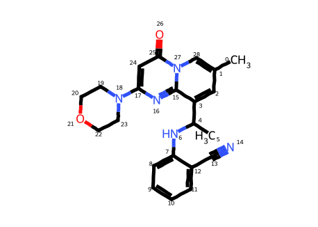 Cc1cc(C(C)Nc2ccccc2C#N)c2nc(N3CCOCC3)cc(=O)n2c1